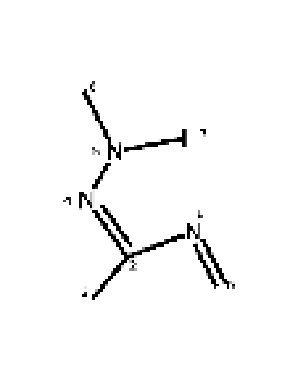 C=N/C(C)=N\N(C)I